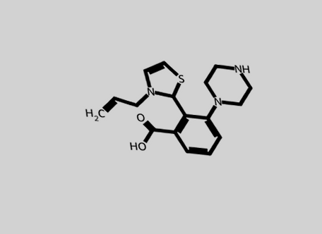 C=CCN1C=CSC1c1c(C(=O)O)cccc1N1CCNCC1